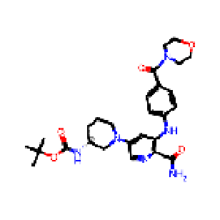 CC(C)(C)OC(=O)N[C@@H]1CCCN(c2cnc(C(N)=O)c(Nc3ccc(C(=O)N4CCOCC4)cc3)c2)C1